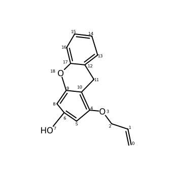 C=CCOc1cc(O)cc2c1Cc1ccccc1O2